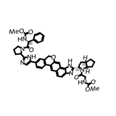 COC(=O)NCC(=O)N1[C@H](c2nc3ccc4cc5c(cc4c3[nH]2)OCc2cc(-c3cnc(C4CCCN4C(=O)[C@H](NC(=O)OC)c4ccccc4)[nH]3)ccc2-5)C[C@@H]2CCC[C@@H]21